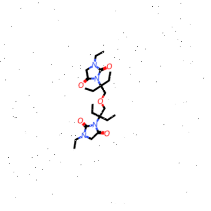 CCN1CC(=O)N(C(CC)(CC)COCC(CC)(CC)N2C(=O)CN(CC)C2=O)C1=O